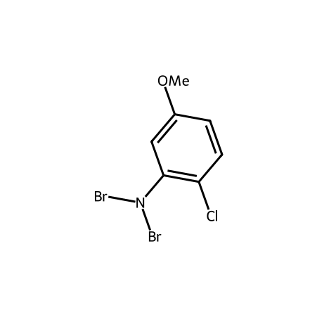 COc1ccc(Cl)c(N(Br)Br)c1